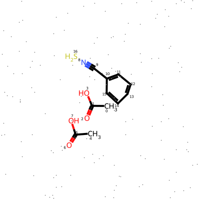 CC(=O)O.CC(=O)O.N#Cc1ccccc1.S